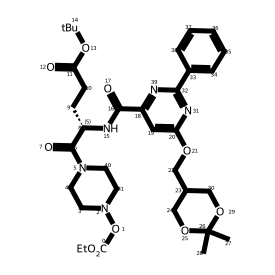 CCOC(=O)ON1CCN(C(=O)[C@H](CCC(=O)OC(C)(C)C)NC(=O)c2cc(OCC3COC(C)(C)OC3)nc(-c3ccccc3)n2)CC1